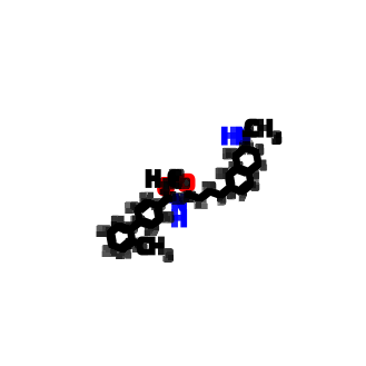 CN[C@H]1CCc2ccc(CCCC(NC(=O)c3ccc(-c4ccccc4C)cc3)OC)cc2C1